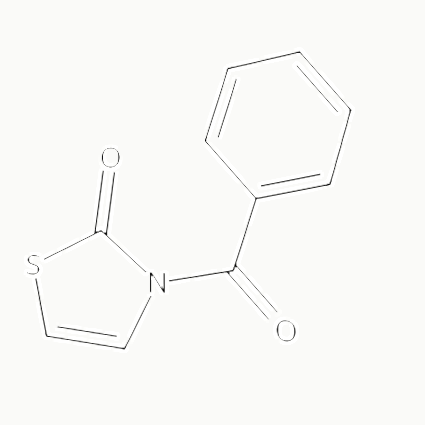 O=C(c1ccccc1)n1ccsc1=O